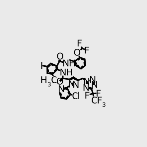 Cc1cc(I)cc(C(=O)NCc2ccccc2OC(F)F)c1NC(=O)c1cc(Cn2nnc(C(F)(F)C(F)(F)F)n2)nn1-c1ncccc1Cl